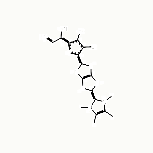 CCc1c(CC)/c(=C(\C#N)C=N)sc1=C1SC2=C(SC(=C3N(C)C(C)=C(C)N3C)S2)S1